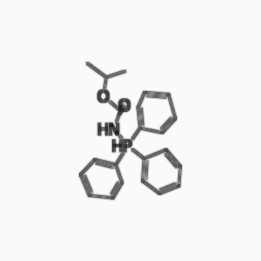 CC(C)OC(=O)N[PH](c1ccccc1)(c1ccccc1)c1ccccc1